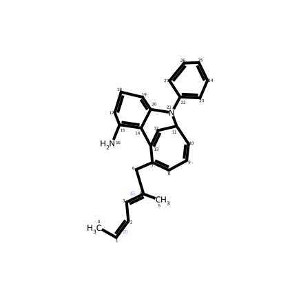 C/C=C\C=C(/C)CC1=CC=CC2C=C1c1c(N)cccc1N2c1ccccc1